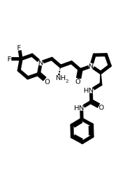 N[C@@H](CC(=O)N1CCC[C@H]1CNC(=O)Nc1ccccc1)CN1CC(F)(F)CCC1=O